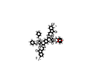 O=C1C(=O)c2cc(C(F)(F)F)ccc2/C1=C/c1nc2c(s1)-c1cc3c(cc1OC2(C(=O)OCc1ccccc1)C(=O)OCc1ccccc1)-c1sc(/C=C2\C(=O)C(=O)c4cc(C(F)(F)F)ccc42)nc1C(C(=O)OCc1ccccc1)(C(=O)OCc1ccccc1)O3